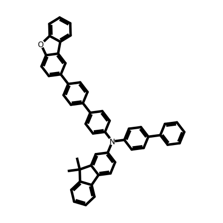 CC1(C)c2ccccc2-c2ccc(N(c3ccc(-c4ccccc4)cc3)c3ccc(-c4ccc(-c5ccc6oc7ccccc7c6c5)cc4)cc3)cc21